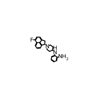 Nc1ccccc1NC1CCN([C@@H]2Cc3ccc(F)c4cccc2c34)CC1